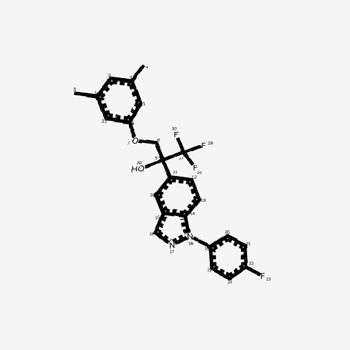 Cc1cc(C)cc(OCC(O)(c2ccc3c(cnn3-c3ccc(F)cc3)c2)C(F)(F)F)c1